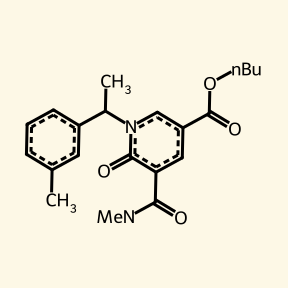 CCCCOC(=O)c1cc(C(=O)NC)c(=O)n(C(C)c2cccc(C)c2)c1